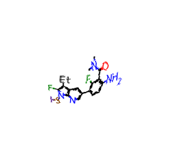 CCc1c(F)n(SI)c2ncc(-c3ccc(N)c(C(=O)N(C)C)c3F)cc12